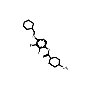 CC1CCC(C(=O)Oc2ccc(OCC3CCCCC3)c(F)c2F)CC1